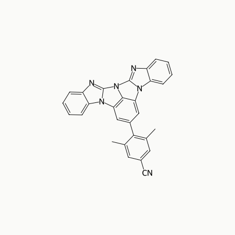 Cc1cc(C#N)cc(C)c1-c1cc2c3c(c1)n1c4ccccc4nc1n3c1nc3ccccc3n21